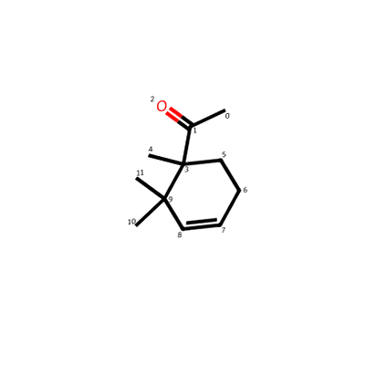 CC(=O)C1(C)CCC=CC1(C)C